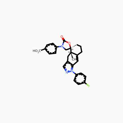 C[C@]12Cc3cnn(-c4ccc(F)cc4)c3C=C1CCC[C@@]21CN(c2ccc(C(=O)O)cc2)C(=O)O1